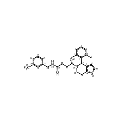 Cc1cccc(C)c1C1c2ccsc2CCN1C(=O)CCC(=O)NCc1cccc(C(F)(F)F)c1